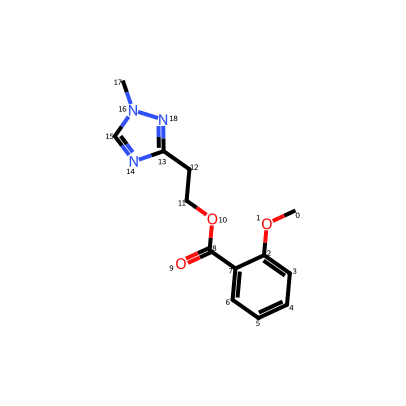 COc1ccccc1C(=O)OCCc1ncn(C)n1